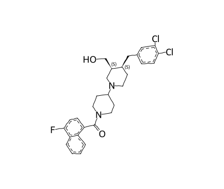 O=C(c1ccc(F)c2ccccc12)N1CCC(N2CC[C@H](Cc3ccc(Cl)c(Cl)c3)[C@H](CO)C2)CC1